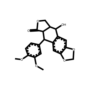 COc1ccc(C2c3cc4c(cc3C(O)C3COC(=O)C23)OCO4)cc1OC